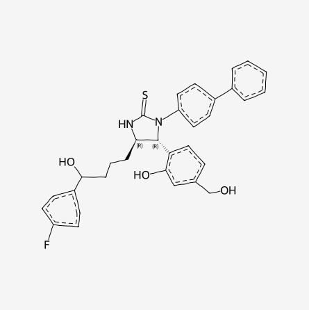 OCc1ccc([C@@H]2[C@@H](CCCC(O)c3ccc(F)cc3)NC(=S)N2c2ccc(-c3ccccc3)cc2)c(O)c1